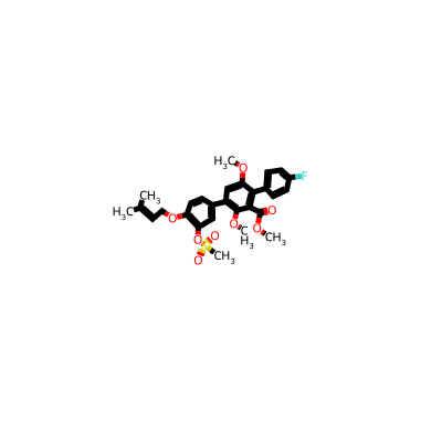 COC(=O)c1c(OC)c(-c2ccc(OCC=C(C)C)c(OS(C)(=O)=O)c2)cc(OC)c1-c1ccc(F)cc1